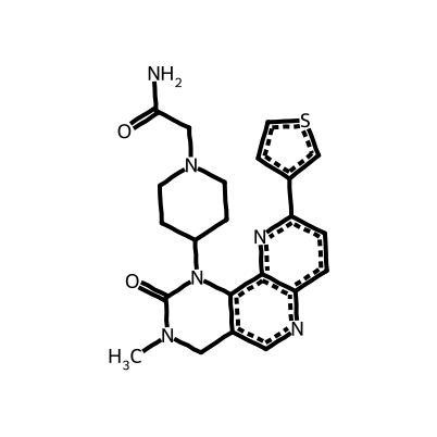 CN1Cc2cnc3ccc(-c4ccsc4)nc3c2N(C2CCN(CC(N)=O)CC2)C1=O